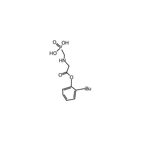 CCC(C)c1ccccc1OC(=O)CNCP(=O)(O)O